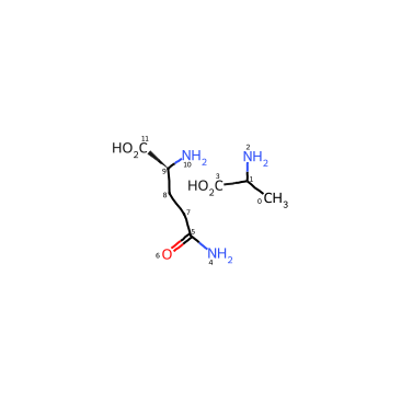 CC(N)C(=O)O.NC(=O)CC[C@H](N)C(=O)O